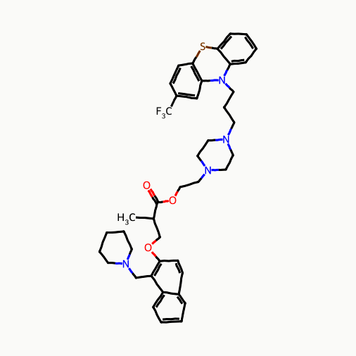 CC(COc1ccc2ccccc2c1CN1CCCCC1)C(=O)OCCN1CCN(CCCN2c3ccccc3Sc3ccc(C(F)(F)F)cc32)CC1